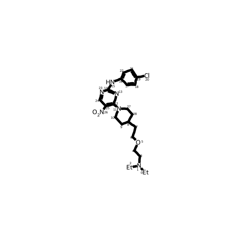 CCN(CC)CCOCCC1CCN(c2nc(Nc3ccc(Cl)cc3)ncc2[N+](=O)[O-])CC1